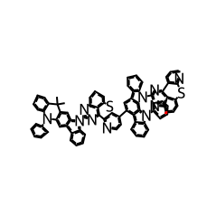 CC1(C)c2ccccc2N(c2ccccc2)c2cc3c4ccccc4n(-c4nc5c6c(cccc6n4)Sc4c(-c6cc7c8ccccc8n(-c8nc9c%10c(cccc%10n8)Sc8ncccc8-9)c7c7c6c6ccccc6n7-c6ccccc6)ccnc4-5)c3cc21